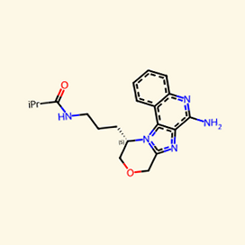 CC(C)C(=O)NCCC[C@H]1COCc2nc3c(N)nc4ccccc4c3n21